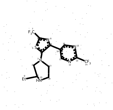 CCC1CN(c2sc(C(F)(F)F)nc2-c2cnc(C(F)(F)F)nc2)CCN1